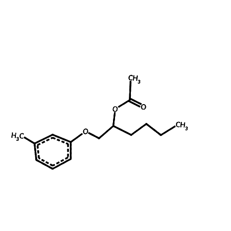 CCCCC(COc1cccc(C)c1)OC(C)=O